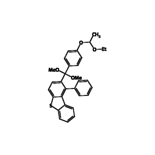 CCOC(C)Oc1ccc(C(OC)(OC)c2ccc3sc4ccccc4c3c2-c2ccccc2)cc1